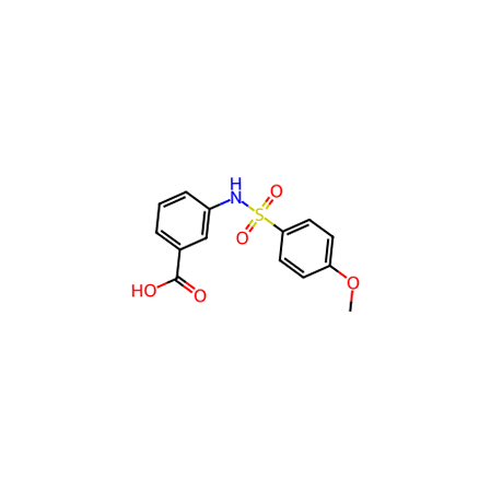 COc1ccc(S(=O)(=O)Nc2cccc(C(=O)O)c2)cc1